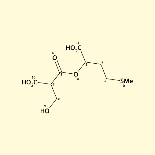 CSCCC(OC(=O)C(CO)C(=O)O)C(=O)O